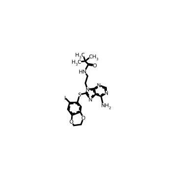 CC(C)(C)C(=O)NCCn1c(Sc2cc3c(cc2I)OCCO3)nc2c(N)ncnc21